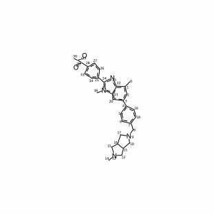 Cc1cc(-c2ccc(CN3CC4CN(C)CC4C3)cc2)cc2c1nc(-c1ccc(S(C)(=O)=O)cc1)n2C